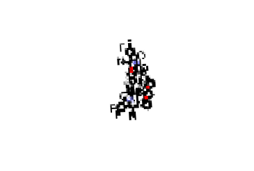 N#CC(C#N)=C1/C(=N/c2cc3sc4c5sc6cc(/N=C7/C(=O)c8cc(F)c(F)cc8C7=C(C#N)C#N)n(C(=O)OCc7ccccc7)c6c5n(C(=O)OCc5ccccc5)c4c3n2C(=O)OCc2ccccc2)C(=O)c2cc(F)c(F)cc21